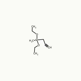 C#CC[Si](C)(OCC)OCC